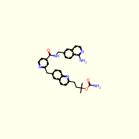 CC(C)(CCc1ccc2cc(Cc3cc(C(=O)NCc4ccc5c(N)nccc5c4)ccn3)ccc2n1)OC(N)=O